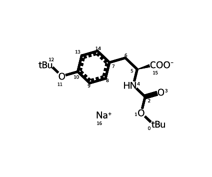 CC(C)(C)OC(=O)N[C@@H](Cc1ccc(OC(C)(C)C)cc1)C(=O)[O-].[Na+]